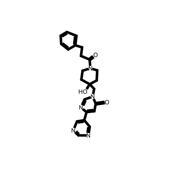 O=C(CCc1ccccc1)N1CCC(O)(Cn2cnc(-c3cncnc3)cc2=O)CC1